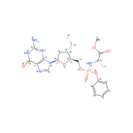 CC(C)OC(=O)[C@H](C)NP(=O)(OC[C@H]1O[C@@H](n2cnc3c(=O)[nH]c(N)nc32)C[C@@H]1CF)Oc1ccccc1